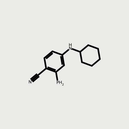 N#Cc1ccc(NC2CCCCC2)cc1P